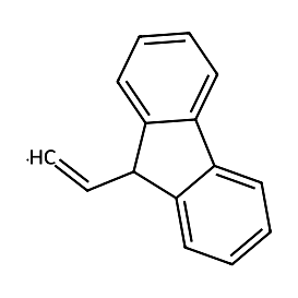 [CH]=CC1c2ccccc2-c2ccccc21